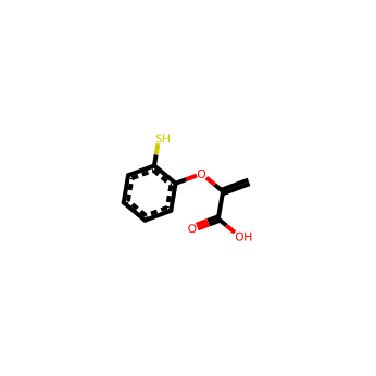 C=C(Oc1ccccc1S)C(=O)O